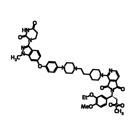 CCOc1cc([C@@H](CS(C)(=O)=O)N2C(=O)c3ccnc(N4CCC(CCN5CCN(c6ccc(Oc7ccc8c(N9CCC(=O)NC9=O)nn(C)c8c7)cc6)CC5)CC4)c3C2=O)ccc1OC